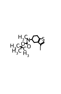 CN(C(=O)OC(C)(C)C)C1CCc2scc(I)c2C1